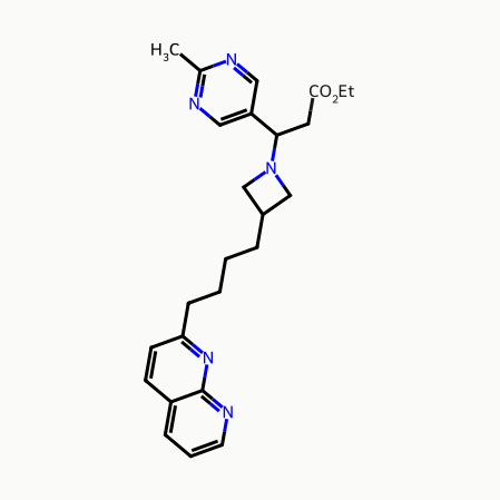 CCOC(=O)CC(c1cnc(C)nc1)N1CC(CCCCc2ccc3cccnc3n2)C1